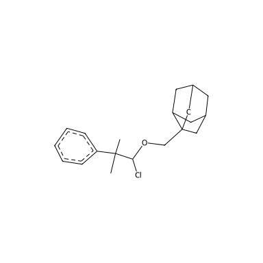 CC(C)(c1ccccc1)C(Cl)OCC12CC3CC(CC1C3)C2